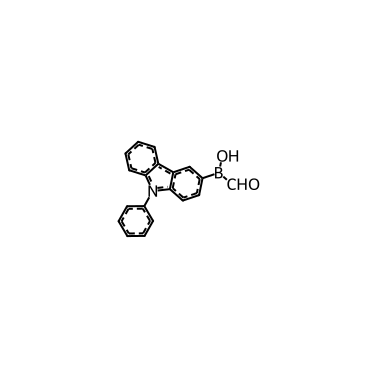 O=CB(O)c1ccc2c(c1)c1ccccc1n2-c1ccccc1